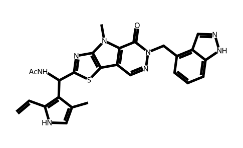 C=Cc1[nH]cc(C)c1C(NC(C)=O)c1nc2c(s1)c1cnn(Cc3cccc4[nH]ncc34)c(=O)c1n2C